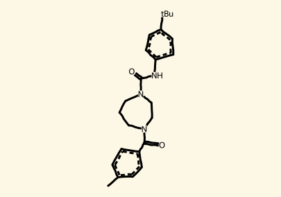 Cc1ccc(C(=O)N2CCCN(C(=O)Nc3ccc(C(C)(C)C)cc3)CC2)cc1